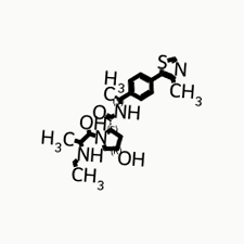 CCNC(C)C(O)N1C[C@H](O)C[C@H]1C(=O)N[C@@H](C)c1ccc(-c2scnc2C)cc1